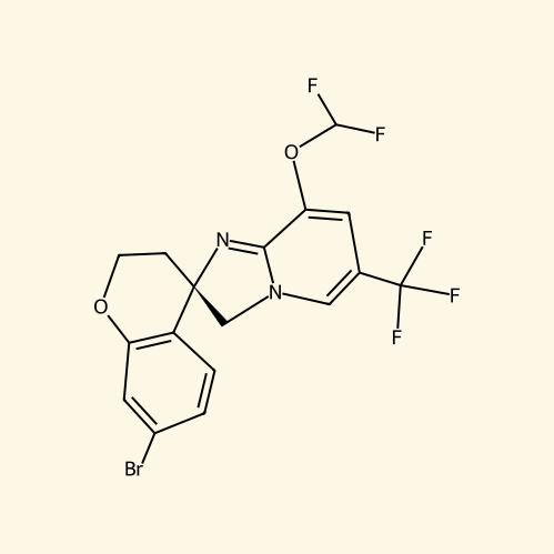 FC(F)OC1=CC(C(F)(F)F)=CN2C[C@@]3(CCOc4cc(Br)ccc43)N=C12